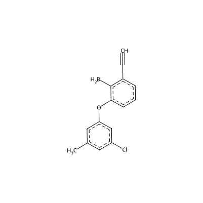 Bc1c(C#C)cccc1Oc1cc(C)cc(Cl)c1